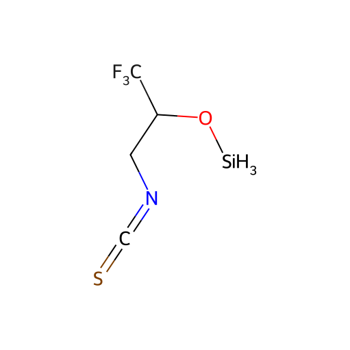 FC(F)(F)C(CN=C=S)O[SiH3]